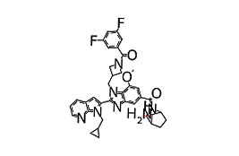 COc1cc(C(=O)N2CC3CCC2[C@@H]3N)cc2nc(-c3cc4cccnc4n3CC3CC3)n(CC3CN(C(=O)c4cc(F)cc(F)c4)C3)c12